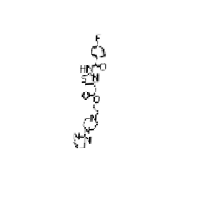 O=C(Cc1csc(NC(=O)c2ccc(F)cc2)n1)OCCN1CCN(c2ncccn2)CC1